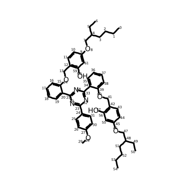 CCCCC(CC)COc1ccc(COc2ccccc2-c2nc(-c3ccc(OC)cc3)nc(-c3ccccc3OCc3ccc(OCC(CC)CCCC)cc3O)n2)c(O)c1